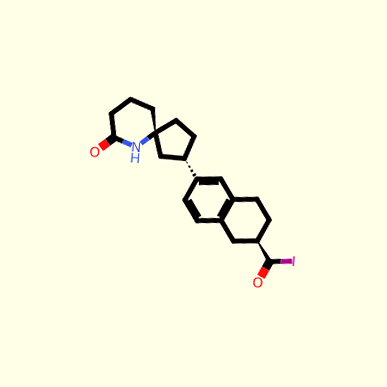 O=C1CCC[C@]2(CC[C@H](c3ccc4c(c3)CC[C@@H](C(=O)I)C4)C2)N1